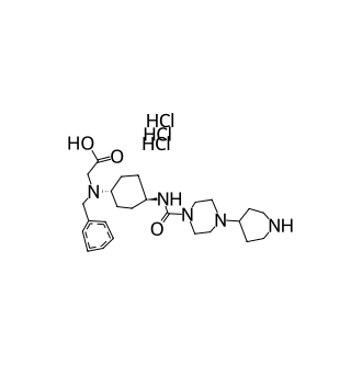 Cl.Cl.Cl.O=C(O)CN(Cc1ccccc1)[C@H]1CC[C@H](NC(=O)N2CCN(C3CCNCC3)CC2)CC1